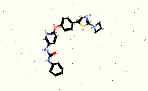 O=C(Nc1ccccc1)Nc1ccc(Oc2ccc(-c3cnc(N4CCC4)s3)cc2)nc1